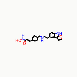 O=C(/C=C/c1ccc(CNCCc2ccc3[nH]c4occc4c3c2)cc1)NO